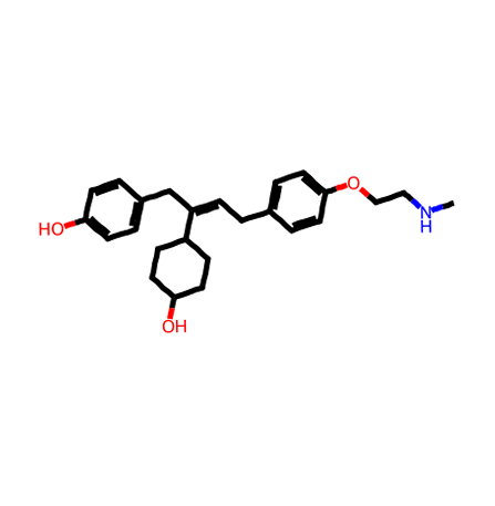 CNCCOc1ccc(CC=C(Cc2ccc(O)cc2)C2CCC(O)CC2)cc1